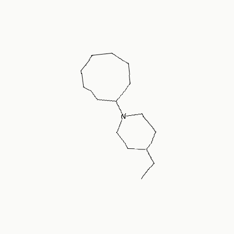 CCC1CCN(C2CCCCCCC2)CC1